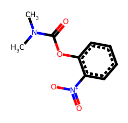 CN(C)C(=O)Oc1ccccc1[N+](=O)[O-]